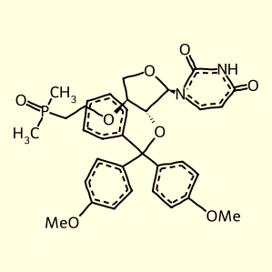 COc1ccc(C(O[C@@H]2[C@@H](OCCP(C)(C)=O)CO[C@H]2n2ccc(=O)[nH]c2=O)(c2ccccc2)c2ccc(OC)cc2)cc1